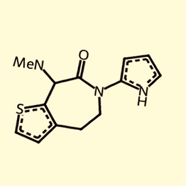 CNC1C(=O)N(c2ccc[nH]2)CCc2ccsc21